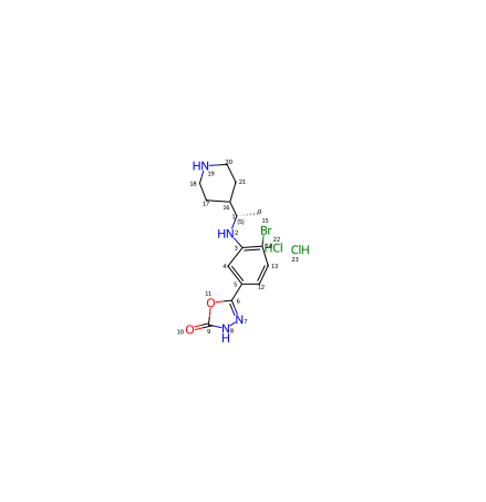 C[C@H](Nc1cc(-c2n[nH]c(=O)o2)ccc1Br)C1CCNCC1.Cl.Cl